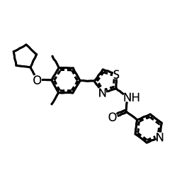 Cc1cc(-c2csc(NC(=O)c3ccncc3)n2)cc(C)c1OC1CCCC1